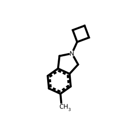 Cc1ccc2c(c1)CN(C1CCC1)C2